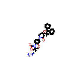 CC(C)(C)[Si](O[C@@H]1CCN(c2ccc3c(c2)OC[C@H]2[C@H](CN)OC(=O)N32)C(=O)C1)(c1ccccc1)c1ccccc1